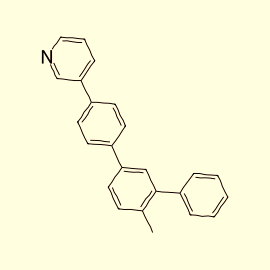 Cc1ccc(-c2ccc(-c3cccnc3)cc2)cc1-c1ccccc1